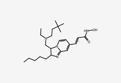 CCCCCC1N=C2C=C(/C=C/C(=O)NO)C=CN2C1CN(CC)CCC(C)(C)C